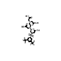 O=C(O)CN(CCN(CC(=O)O)CC(=O)O)CCN(CC(=O)O)S(=O)(=O)c1cc(C(F)(F)F)cc(C(F)(F)F)c1